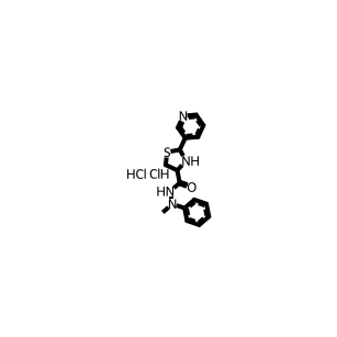 CN(NC(=O)C1CSC(c2cccnc2)N1)c1ccccc1.Cl.Cl